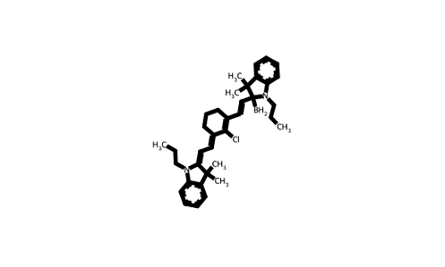 BC1(/C=C/C2=C(Cl)C(=C/C=C3/N(CCC)c4ccccc4C3(C)C)/CCC2)N(CCC)c2ccccc2C1(C)C